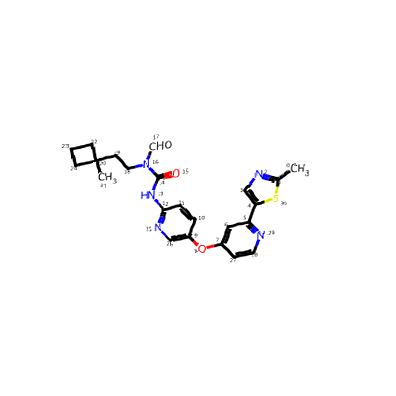 Cc1ncc(-c2cc(Oc3ccc(NC(=O)N(C=O)CCC4(C)CCC4)nc3)ccn2)s1